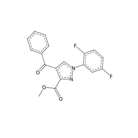 COC(=O)c1nn(-c2cc(F)ccc2F)cc1C(=O)c1ccccc1